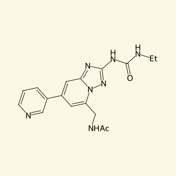 CCNC(=O)Nc1nc2cc(-c3cccnc3)cc(CNC(C)=O)n2n1